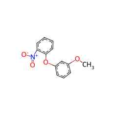 COc1cccc(Oc2ccccc2[N+](=O)[O-])c1